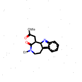 CCN1CCC2=c3ccccc3=NC2C(CC(=O)OC)C1=O